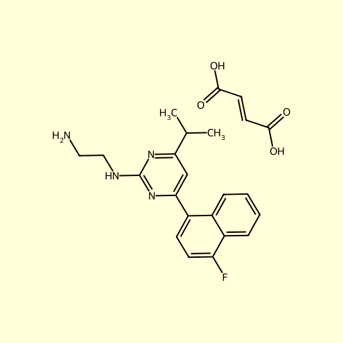 CC(C)c1cc(-c2ccc(F)c3ccccc23)nc(NCCN)n1.O=C(O)/C=C/C(=O)O